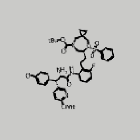 COc1ccc([C@H](c2ccc(Cl)cc2)[C@H](N)C(=O)Nc2cccc(F)c2CC[C@H]2CN(C(=O)OC(C)(C)C)CC3(CC3)CN2S(=O)(=O)c2ccccc2)cn1